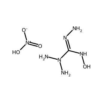 NN=C(NO)N(N)N.O=[N+]([O-])O